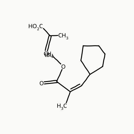 C=C(C)C(=O)O.CC(=CC1CCCCC1)C(=O)OC(C)(C)C